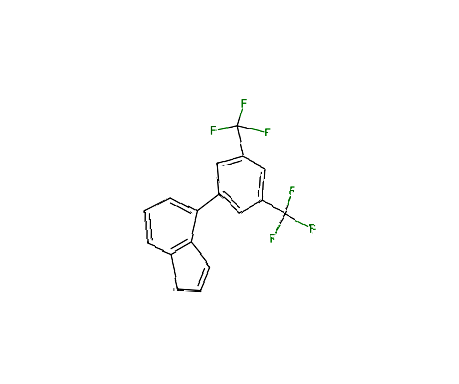 FC(F)(F)c1cc(-c2cccc3c2C=C[CH]3)cc(C(F)(F)F)c1